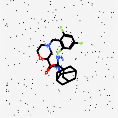 NC(=O)C12CC3CC(C1)C(NC(=O)C1CN(Cc4c(F)cc(F)cc4F)CCO1)C(C3)C2